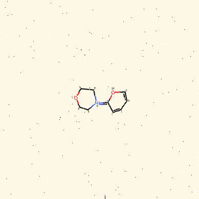 c1ccc(=[N+]2CCOCC2)oc1